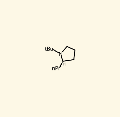 CCC[C@@H]1CCCN1C(C)(C)C